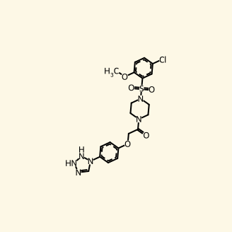 COc1ccc(Cl)cc1S(=O)(=O)N1CCN(C(=O)COc2ccc(N3C=NNN3)cc2)CC1